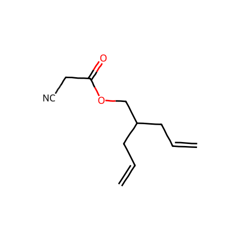 C=CCC(CC=C)COC(=O)CC#N